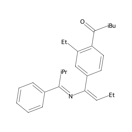 CC/C=C(/N=C(/c1ccccc1)C(C)C)c1ccc(C(=O)C(C)CC)c(CC)c1